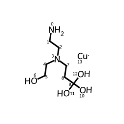 NCCN(CCO)CCC(O)(O)O.[Cu]